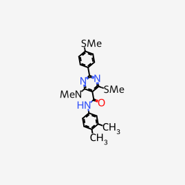 CNc1nc(-c2ccc(SC)cc2)nc(SC)c1C(=O)Nc1ccc(C)c(C)c1